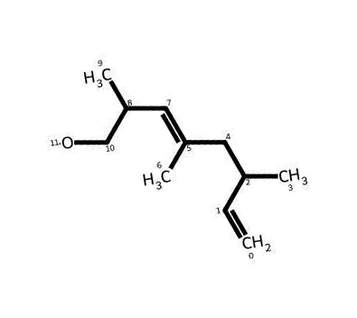 C=CC(C)C/C(C)=C/C(C)C[O]